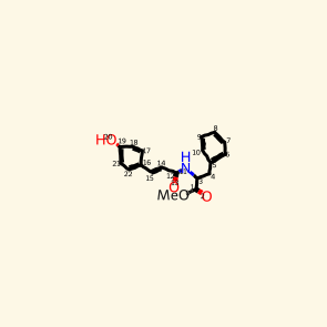 COC(=O)C(Cc1ccccc1)NC(=O)C=Cc1ccc(O)cc1